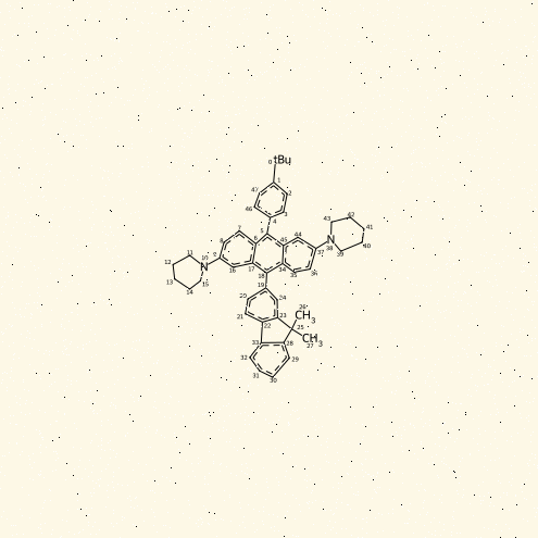 CC(C)(C)c1ccc(-c2c3ccc(N4CCCCC4)cc3c(-c3ccc4c(c3)C(C)(C)c3ccccc3-4)c3ccc(N4CCCCC4)cc23)cc1